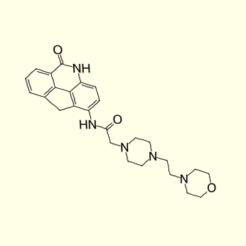 O=C(CN1CCN(CCN2CCOCC2)CC1)Nc1ccc2[nH]c(=O)c3cccc4c3c2c1C4